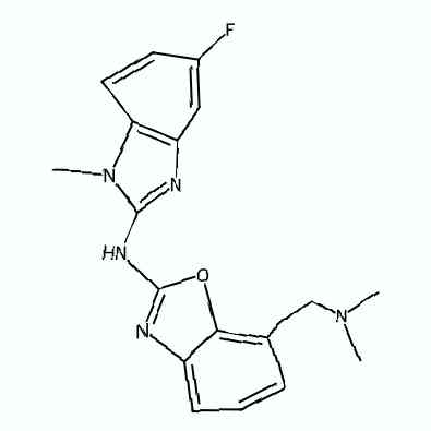 CN(C)Cc1cccc2nc(Nc3nc4cc(F)ccc4n3C)oc12